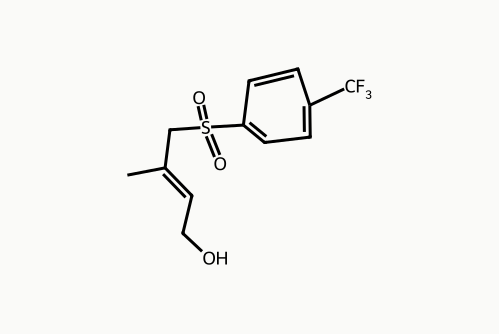 CC(=CCO)CS(=O)(=O)c1ccc(C(F)(F)F)cc1